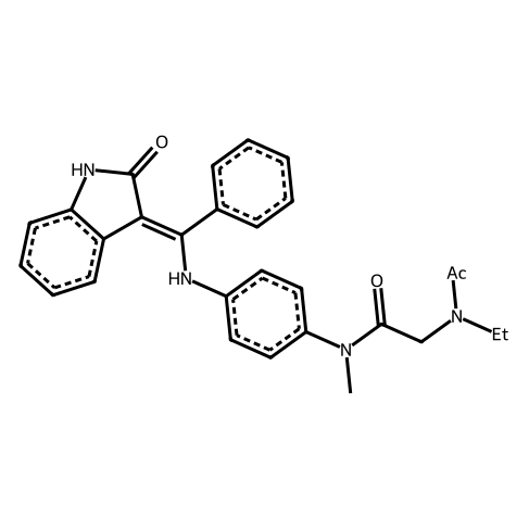 CCN(CC(=O)N(C)c1ccc(NC(=C2C(=O)Nc3ccccc32)c2ccccc2)cc1)C(C)=O